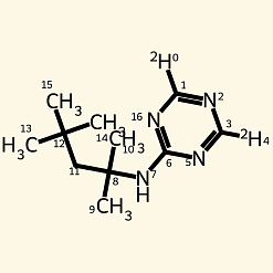 [2H]c1nc([2H])nc(NC(C)(C)CC(C)(C)C)n1